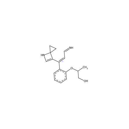 CC(CO)Oc1ccccc1/C(=C/C=N)C1=CNC12CC2